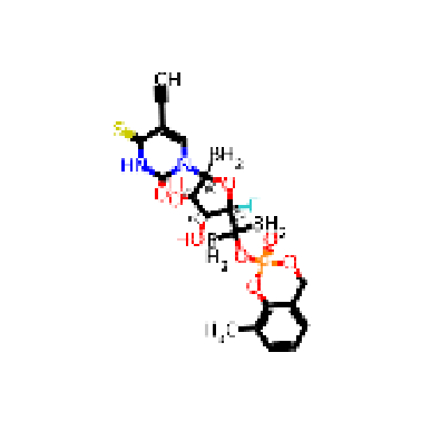 BC(B)(OP1(=O)OCc2cccc(C)c2O1)[C@@]1(F)O[C@@](B)(n2cc(C#C)c(=S)[nH]c2=O)[C@H](O)[C@@H]1O